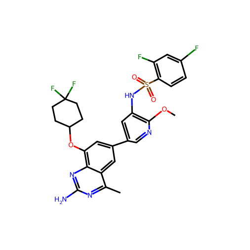 COc1ncc(-c2cc(OC3CCC(F)(F)CC3)c3nc(N)nc(C)c3c2)cc1NS(=O)(=O)c1ccc(F)cc1F